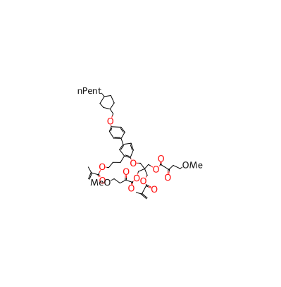 C=C(C)C(=O)OCCCc1cc(-c2ccc(OCC3CCC(CCCCC)CC3)cc2)ccc1OCC(COC(=O)C(=C)C)(COC(=O)C(=O)CCOC)COC(=O)C(=O)CCOC